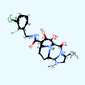 C[C@H]1CN(C)C2C3CCc4c(C(=O)NCc5cccc(Cl)c5F)c(=O)c(O)c(n43)C(=O)N21